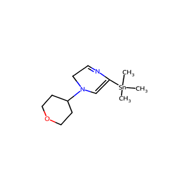 [CH3][Sn]([CH3])([CH3])[C]1=CN(C2CCOCC2)CC=N1